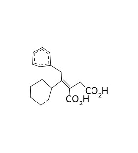 O=C(O)CC(C(=O)O)=C(Cc1ccccc1)C1CCCCC1